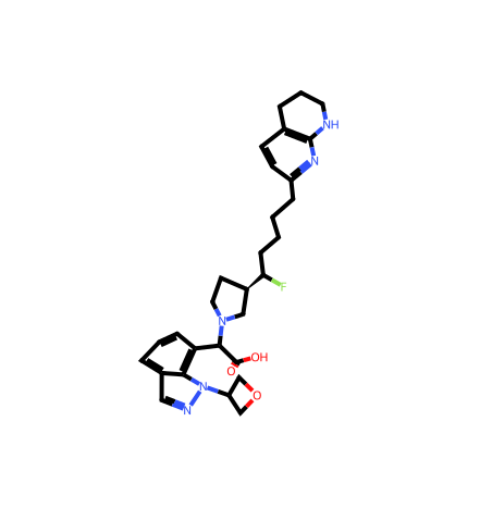 O=C(O)C(c1cccc2cnn(C3COC3)c12)N1CC[C@@H](C(F)CCCCc2ccc3c(n2)NCCC3)C1